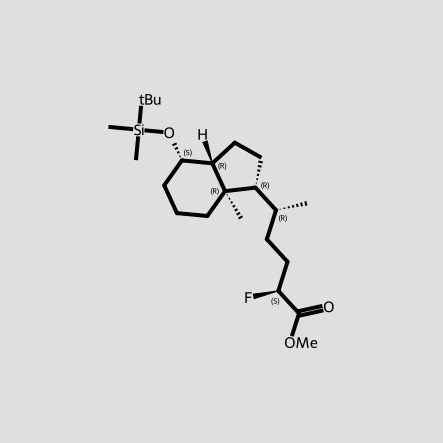 COC(=O)[C@@H](F)CC[C@@H](C)[C@H]1CC[C@H]2[C@@H](O[Si](C)(C)C(C)(C)C)CCC[C@]12C